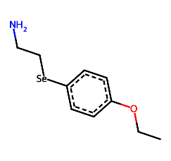 CCOc1ccc([Se]CCN)cc1